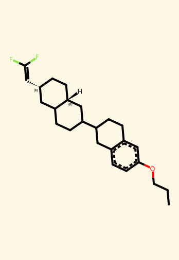 CCCOc1ccc2c(c1)CCC(C1CCC3C[C@H](C=C(F)F)CC[C@@H]3C1)C2